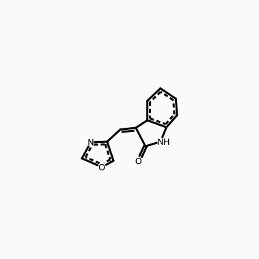 O=C1Nc2ccccc2/C1=C/c1cocn1